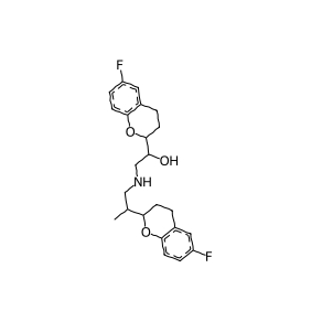 CC(CNCC(O)C1CCc2cc(F)ccc2O1)C1CCc2cc(F)ccc2O1